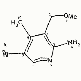 COCc1c(N)ncc(Br)c1C